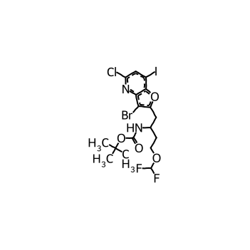 CC(C)(C)OC(=O)NC(CCOC(F)F)Cc1oc2c(I)cc(Cl)nc2c1Br